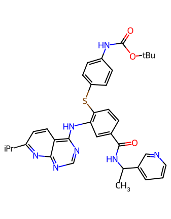 CC(C)c1ccc2c(Nc3cc(C(=O)NC(C)c4cccnc4)ccc3Sc3ccc(NC(=O)OC(C)(C)C)cc3)ncnc2n1